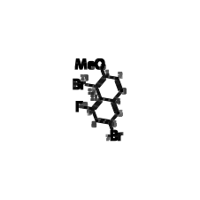 COc1ccc2cc(Br)cc(F)c2c1Br